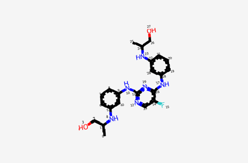 CC(CO)Nc1cccc(Nc2ncc(F)c(Nc3cccc(NC(C)CO)c3)n2)c1